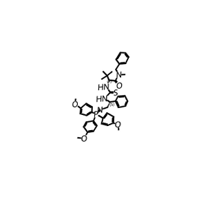 COc1ccc(P(=NC[C@@H](NC(=S)N[C@@H](C(=O)N(C)Cc2ccccc2)C(C)(C)C)c2ccccc2)(c2ccc(OC)cc2)c2ccc(OC)cc2)cc1